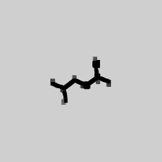 CC(C)COP(C)Cl